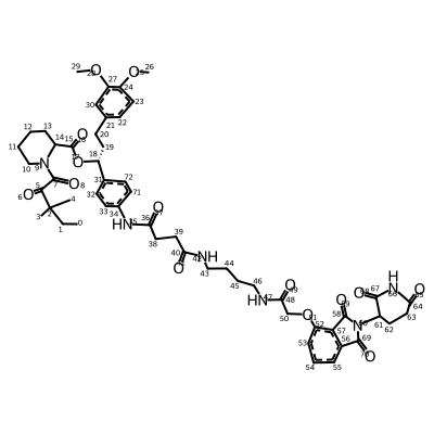 CCC(C)(C)C(=O)C(=O)N1CCCCC1C(=O)O[C@H](CCc1ccc(OC)c(OC)c1)c1ccc(NC(=O)CCC(=O)NCCCCNC(=O)COc2cccc3c2C(=O)N(C2CCC(=O)NC2=O)C3=O)cc1